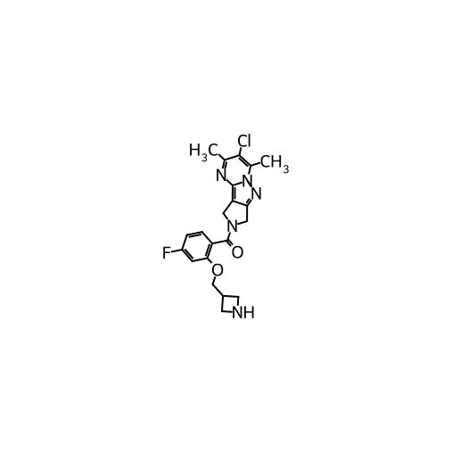 Cc1nc2c3c(nn2c(C)c1Cl)CN(C(=O)c1ccc(F)cc1OCC1CNC1)C3